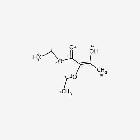 CCOC(=O)/C(OCC)=C(/C)O